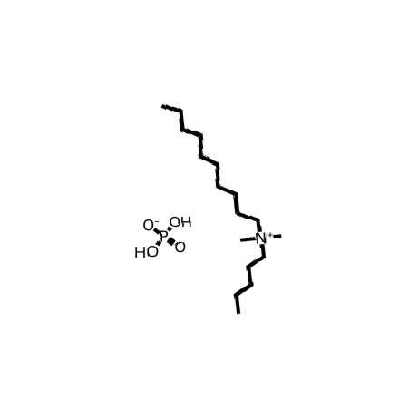 CCCCCCCCCC[N+](C)(C)CCCCC.O=P([O-])(O)O